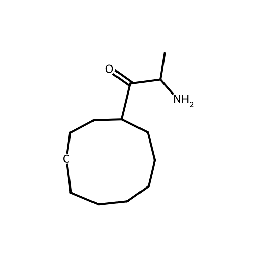 CC(N)C(=O)C1CCCCCCCCC1